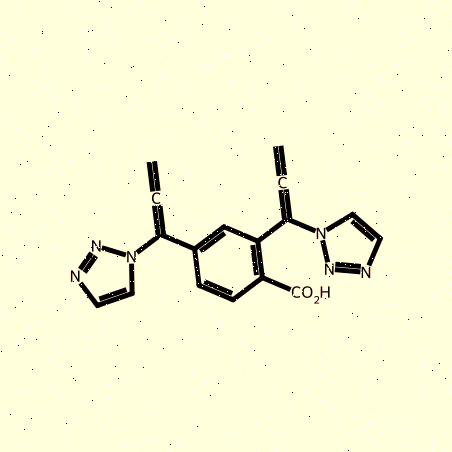 C=C=C(c1ccc(C(=O)O)c(C(=C=C)n2ccnn2)c1)n1ccnn1